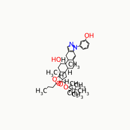 CCCC1O[C@@H]2C[C@H]3[C@@H]4CCC5=Cc6c(cnn6-c6cccc(O)c6)C[C@]5(C)[C@H]4[C@@H](O)C[C@]3(C)[C@]2(C(=O)CO[Si](C)(C)C(C)(C)C)O1